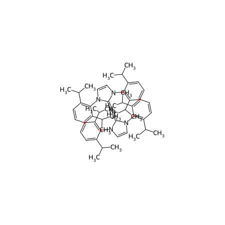 CC(C)c1cccc(C(C)C)c1-n1ccn(-c2c(C(C)C)cccc2C(C)C)[c]1=[Ni]=[c]1n(-c2c(C(C)C)cccc2C(C)C)ccn1-c1c(C(C)C)cccc1C(C)C